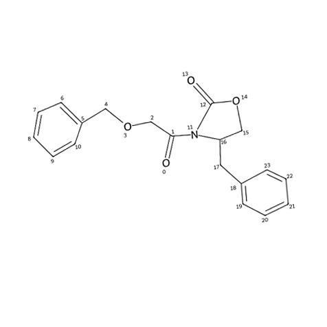 O=C(COCc1ccccc1)N1C(=O)OCC1Cc1ccccc1